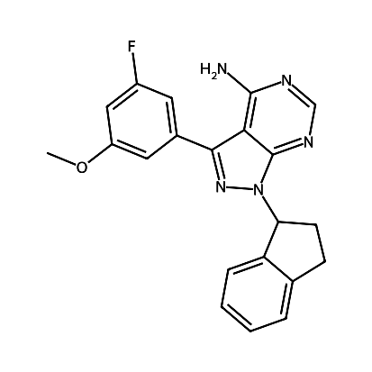 COc1cc(F)cc(-c2nn(C3CCc4ccccc43)c3ncnc(N)c23)c1